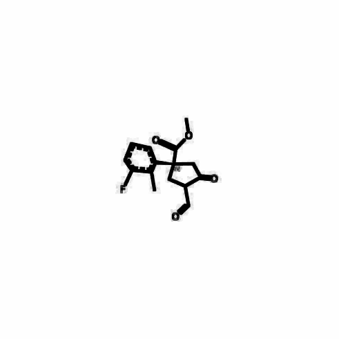 COC(=O)[C@]1(c2cccc(F)c2C)CC(=O)C(C=O)C1